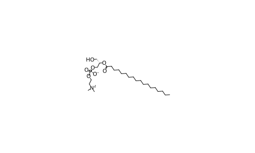 CCCCCCCCCCCCCCCCCC(=O)O[C@@H](CO)COP(=O)([O-])OCC[N+](C)(C)C